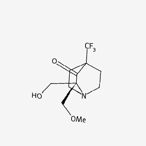 COC[C@@]1(CO)C(=O)C2(C(F)(F)F)CCN1CC2